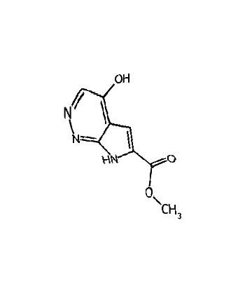 COC(=O)c1cc2c(O)cnnc2[nH]1